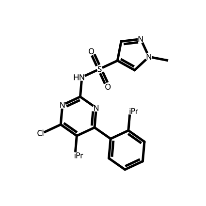 CC(C)c1ccccc1-c1nc(NS(=O)(=O)c2cnn(C)c2)nc(Cl)c1C(C)C